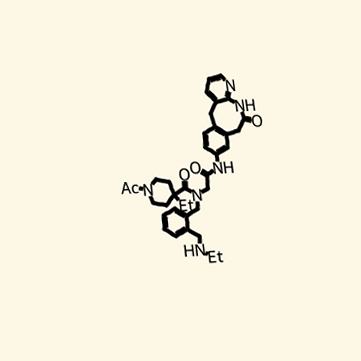 CCNCc1ccccc1CN(CC(=O)Nc1ccc2c(c1)CC(=O)Nc1ncccc1C2)C(=O)C1(CC)CCN(C(C)=O)CC1